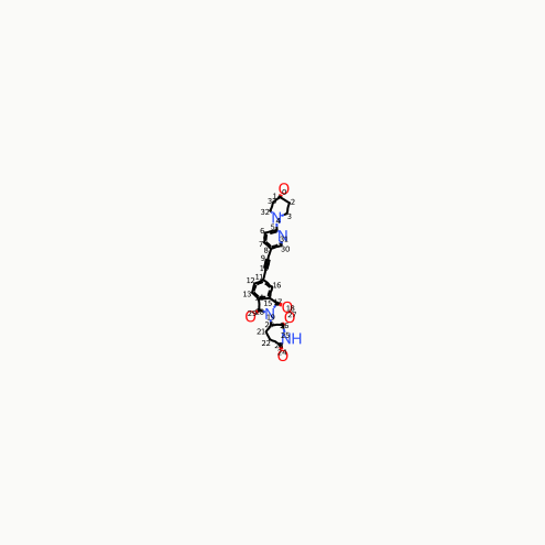 O=C1CCN(c2ccc(C#Cc3ccc4c(c3)C(=O)N(C3CCC(=O)NC3=O)C4=O)cn2)CC1